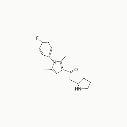 Cc1cc(C(=O)CC2CCCN2)c(C)n1C1=CCC(F)C=C1